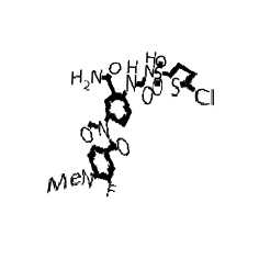 CNc1cc2c(cc1F)C(=O)N(c1ccc(NC(=O)NS(=O)(=O)C3=CCC(Cl)S3)c(C(N)=O)c1)CO2